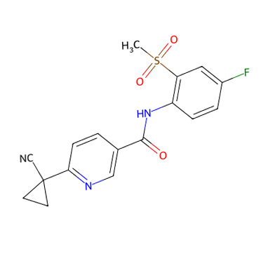 CS(=O)(=O)c1cc(F)ccc1NC(=O)c1ccc(C2(C#N)CC2)nc1